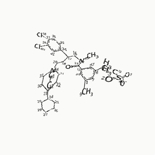 CS(=O)(=O)[O-].Cc1cc(C)cc(C(=O)N(C)CC(CC[N+]23CCC(C4CCCCC4)(CC2)CC3)c2ccc(Cl)c(Cl)c2)c1